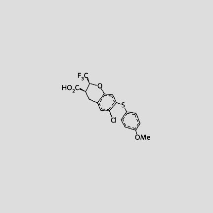 COc1ccc(Sc2cc3c(cc2Cl)C[C@@H](C(=O)O)[C@@H](C(F)(F)F)O3)cc1